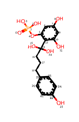 O=P(O)(O)Oc1cc(O)cc(O)c1C(O)(O)CCCc1ccc(O)cc1